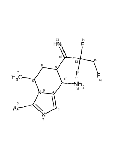 CC(=O)c1ncc2n1C(C)CC(C(=N)C(F)(F)CF)C2N